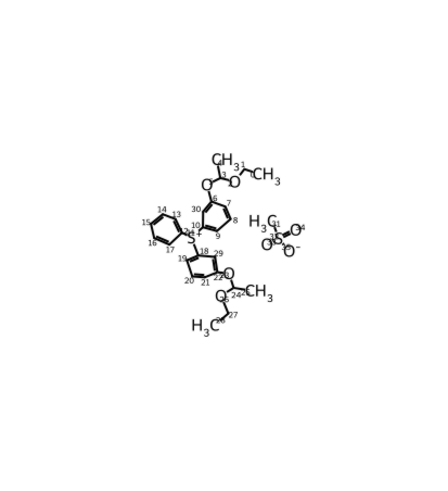 CCOC(C)Oc1cccc([S+](c2ccccc2)c2cccc(OC(C)OCC)c2)c1.CS(=O)(=O)[O-]